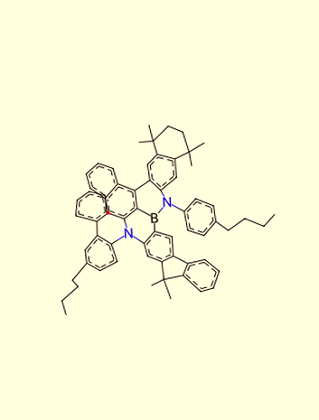 CCCCc1ccc(N2B3c4cc5c(cc4N(c4ccc(CCCC)cc4-c4ccccc4)c4cc6ccccc6c(c43)-c3cc4c(cc32)C(C)(C)CCC4(C)C)C(C)(C)c2ccccc2-5)cc1